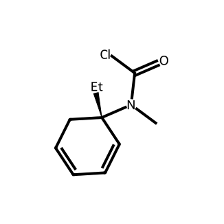 CC[C@@]1(N(C)C(=O)Cl)C=CC=CC1